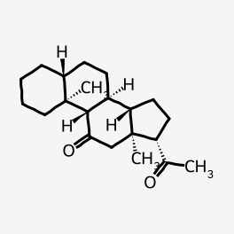 CC(=O)[C@H]1CC[C@H]2[C@@H]3CC[C@H]4CCCC[C@]4(C)[C@H]3C(=O)C[C@]12C